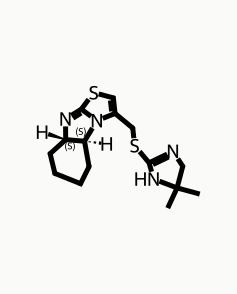 CC1(C)CN=C(SCC2=CSC3=N[C@H]4CCCC[C@@H]4N23)N1